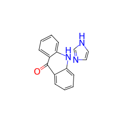 O=c1c2ccccc2[nH]c2ccccc12.c1c[nH]cn1